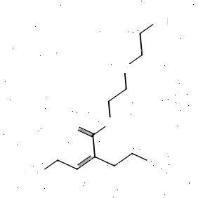 CCC=C(CCC)C(=O)OCCOCCC